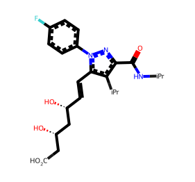 CC(C)NC(=O)c1nn(-c2ccc(F)cc2)c(/C=C/[C@@H](O)C[C@@H](O)CC(=O)O)c1C(C)C